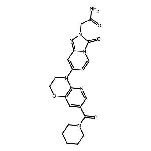 NC(=O)Cn1nc2cc(N3CCOc4cc(C(=O)N5CCCCC5)cnc43)ccn2c1=O